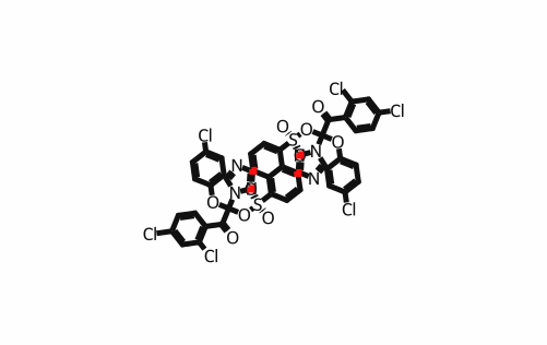 O=C(c1ccc(Cl)cc1Cl)C(Oc1ccc(Cl)cc1)(OS(=O)(=O)c1cccc2c(S(=O)(=O)OC(Oc3ccc(Cl)cc3)(C(=O)c3ccc(Cl)cc3Cl)n3cncn3)cccc12)n1cncn1